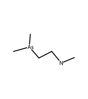 C[N]CC[As](C)C